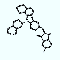 O=C(O)c1ccc2c(c1)C(=O)/C(=C\c1ccc3c(c1)c1ccc4ccccc4c1n3-c1ccc3ccccc3c1)C2=O